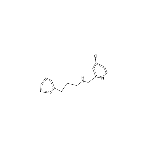 Clc1ccnc(CNCCCc2ccccc2)c1